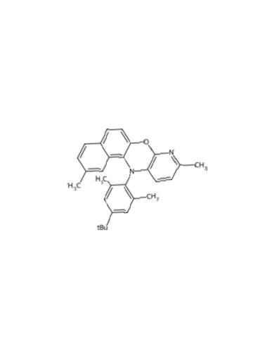 Cc1ccc2ccc3c(c2c1)N(c1c(C)cc(C(C)(C)C)cc1C)c1ccc(C)nc1O3